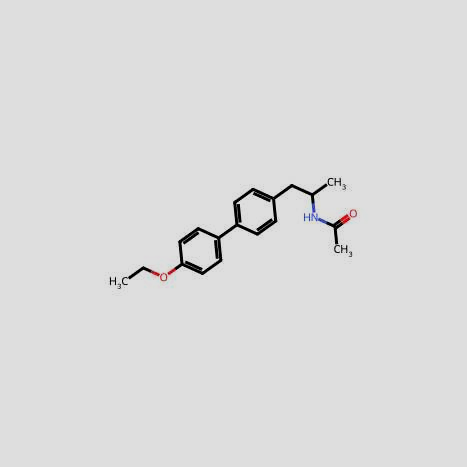 CCOc1ccc(-c2ccc(CC(C)NC(C)=O)cc2)cc1